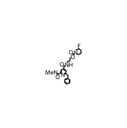 CNC(=O)c1cc(C(=O)NCCCOC(=O)N2CCCC(F)C2)cc(Cc2ccccc2)n1